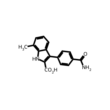 Cc1cccc2c(-c3ccc(C(N)=O)cc3)c(C(=O)O)[nH]c12